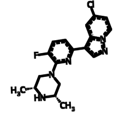 C[C@@H]1CN(c2nc(-c3cnn4ccc(Cl)cc34)ccc2F)C[C@H](C)N1